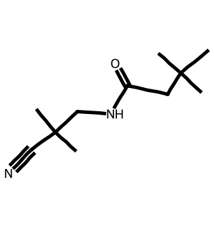 CC(C)(C)CC(=O)NCC(C)(C)C#N